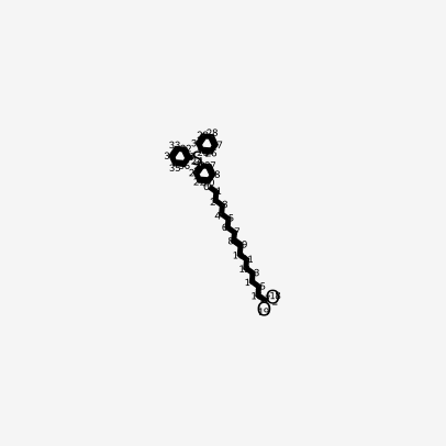 CCCCCCCCC=CCCCCCCCC(=O)[O-].c1ccc([S+](c2ccccc2)c2ccccc2)cc1